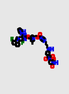 C#Cc1c(F)ccc2cccc(-c3ncc4c(N5CC6CCC(C5)N6)nc(OCC56CC[C@@H](COC(=O)N7CCN(CCCCNc8ccc9c(c8)C(=O)N(C8CCC(=O)NC8=O)C9=O)CC7)N5CC(=C)C6)nc4c3F)c12